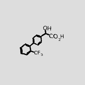 O=C(O)C(O)c1ccc(-c2ccccc2C(F)(F)F)cc1